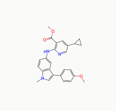 COC(=O)c1cc(C2CC2)cnc1Nc1ccc2c(c1)c(-c1ccc(OC)cc1)cn2C